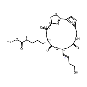 CC(C)(C)OC(=O)NCCC[C@@H]1CC(=O)[C@]2(C)CSC(=N2)c2csc(n2)CNC(=O)C[C@@H](/C=C/CCS)OC1=O